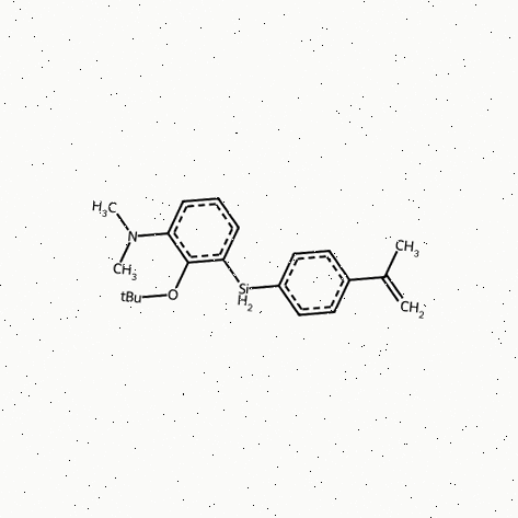 C=C(C)c1ccc([SiH2]c2cccc(N(C)C)c2OC(C)(C)C)cc1